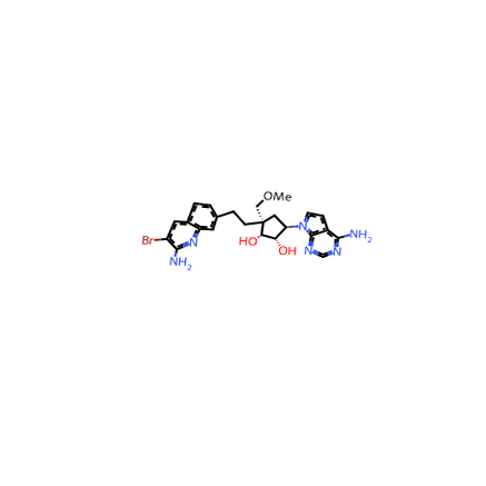 COC[C@]1(CCc2ccc3cc(Br)c(N)nc3c2)C[C@@H](n2ccc3c(N)ncnc32)[C@H](O)[C@@H]1O